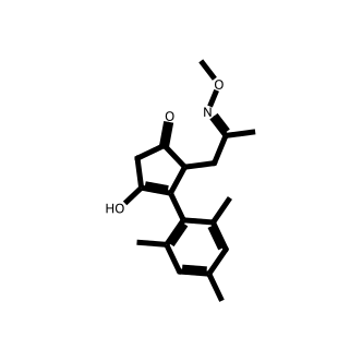 CON=C(C)CC1C(=O)CC(O)=C1c1c(C)cc(C)cc1C